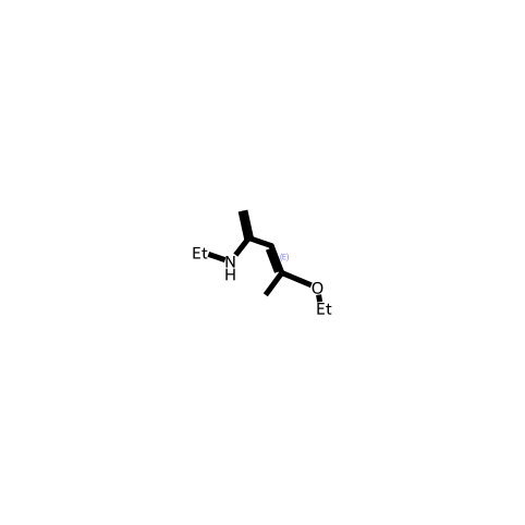 C=C(/C=C(\C)OCC)NCC